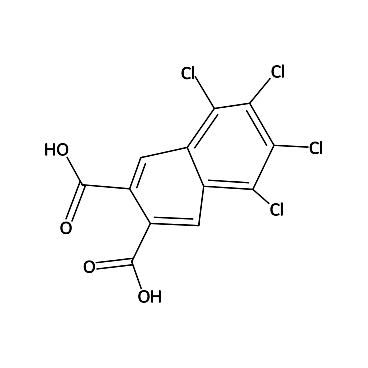 O=C(O)c1cc2c(Cl)c(Cl)c(Cl)c(Cl)c2cc1C(=O)O